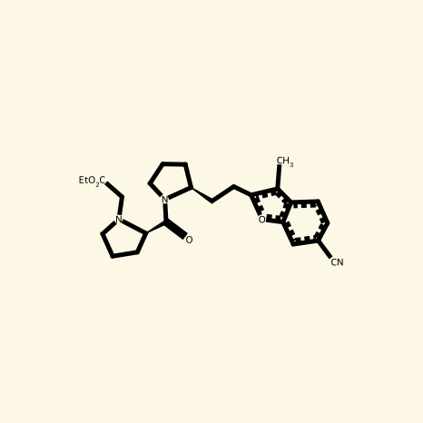 CCOC(=O)CN1CCC[C@@H]1C(=O)N1CCC[C@H]1CCc1oc2cc(C#N)ccc2c1C